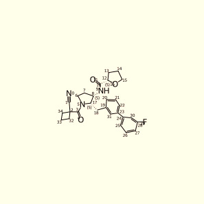 N#CC1(C(=O)N2CC[C@H](NC(=O)[C@@H]3CCCO3)[C@@H]2Cc2cccc(-c3cccc(F)c3)c2)CCC1